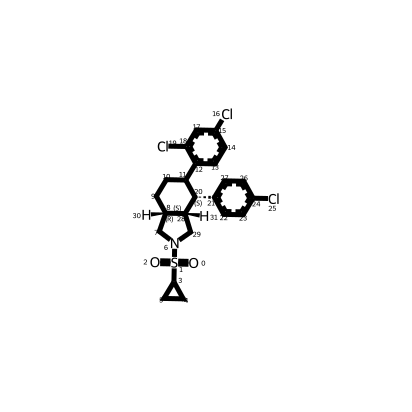 O=S(=O)(C1CC1)N1C[C@@H]2CCC(c3ccc(Cl)cc3Cl)[C@H](c3ccc(Cl)cc3)[C@@H]2C1